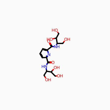 O=C(NC(CO)C(O)CO)c1cccc(C(=O)NC(CO)C(O)CO)n1